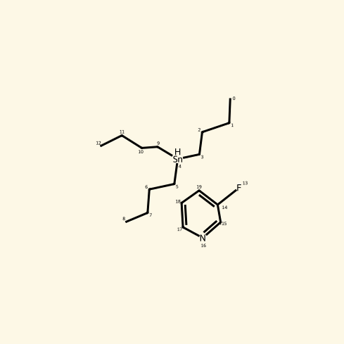 CCC[CH2][SnH]([CH2]CCC)[CH2]CCC.Fc1[c]nccc1